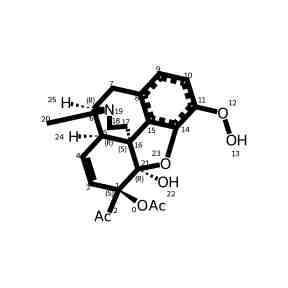 CC(=O)O[C@@]1(C(C)=O)C=C[C@H]2[C@H]3Cc4ccc(OO)c5c4[C@@]2(CCN3C)[C@@]1(O)O5